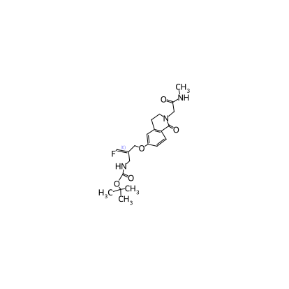 CNC(=O)CN1CCc2cc(OC/C(=C/F)CNC(=O)OC(C)(C)C)ccc2C1=O